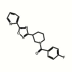 O=C(c1ccc(F)cc1)N1CCCC(c2noc(-c3ccccn3)n2)C1